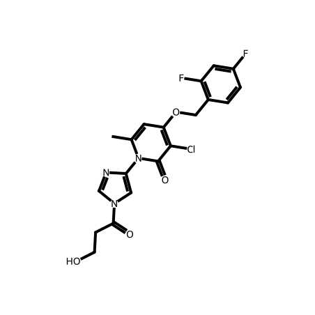 Cc1cc(OCc2ccc(F)cc2F)c(Cl)c(=O)n1-c1cn(C(=O)CCO)cn1